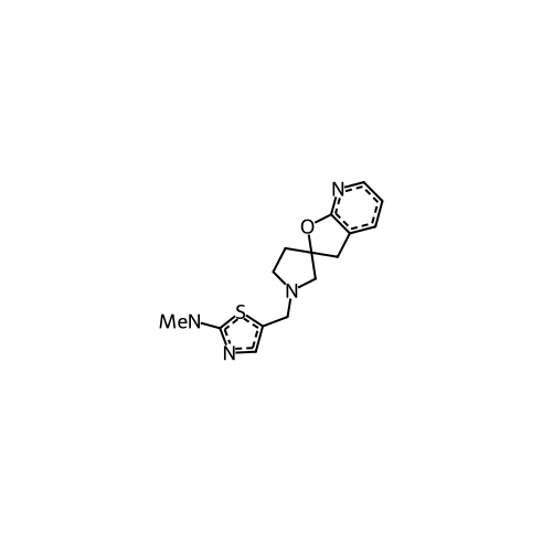 CNc1ncc(CN2CCC3(Cc4cccnc4O3)C2)s1